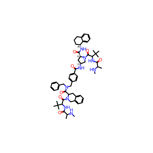 CNC(C)C(=O)NC(C(=O)N1Cc2ccccc2CC1C(=O)N(Cc1ccccc1)Cc1ccc(C(=O)N[C@H]2C[C@@H](C(=O)N[C@@H]3CCCc4ccccc43)N(C(=O)C(NC(=O)C(C)NC)C(C)(C)C)C2)cc1)C(C)(C)C